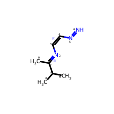 C/C(=N\C=C/N=N)C(C)C